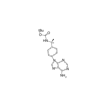 C[C@H](NC(=O)OC(C)(C)C)c1ccc(-n2cnc3c(N)ncnc32)cc1